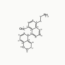 NCCc1ccc(C=O)c2c(C3C=CC=C4OOCC=C43)cncc12